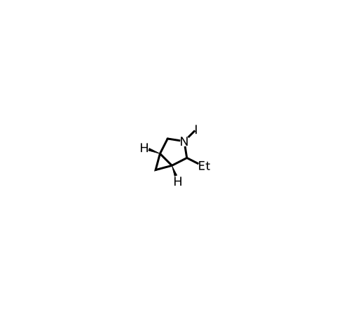 CCC1[C@@H]2C[C@@H]2CN1I